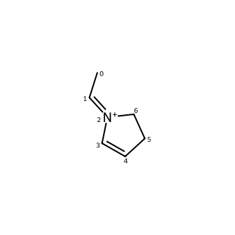 C/C=[N+]1/C=CCC1